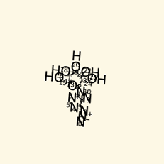 [N-]=[N+]=Nc1ncnc2c1ncn2[C@@H]1O[C@H](CO)[C@@H](O)[C@H](O)[C@@H](O)[C@H]1CO